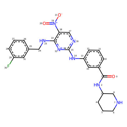 O=C(NC1CCCNC1)c1cccc(Nc2ncc([N+](=O)[O-])c(NCc3cccc(F)c3)n2)c1